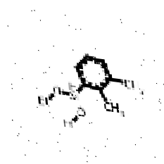 CCO[SiH](OCC)c1cccc(C)c1C